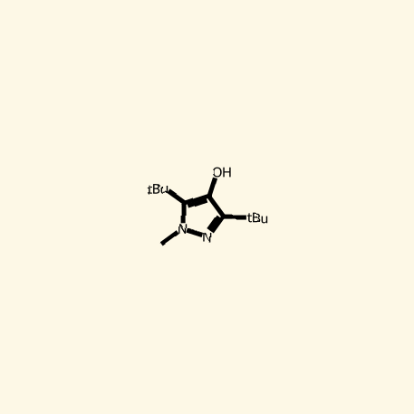 Cn1nc(C(C)(C)C)c(O)c1C(C)(C)C